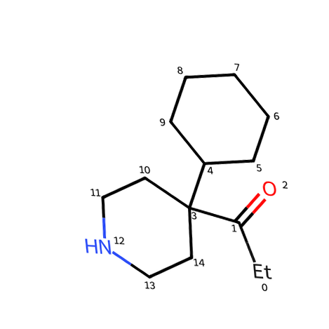 CCC(=O)C1(C2CCCCC2)CCNCC1